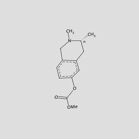 COC(=O)Oc1ccc2c(c1)C[C@@H](C)N(C)C2